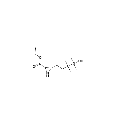 CCOC(=O)C1NC1CCC(C)(C)[Si](C)(C)O